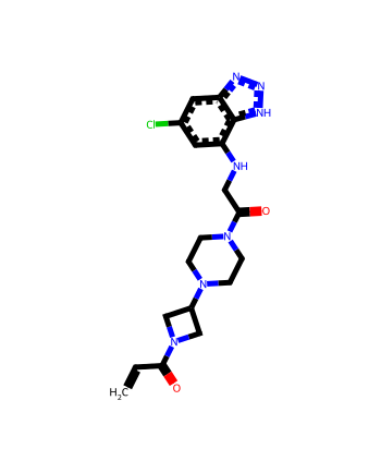 C=CC(=O)N1CC(N2CCN(C(=O)CNc3cc(Cl)cc4nn[nH]c34)CC2)C1